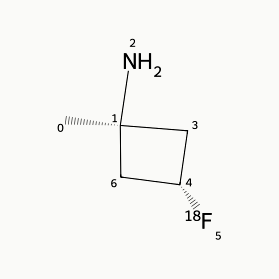 C[C@]1(N)C[C@H]([18F])C1